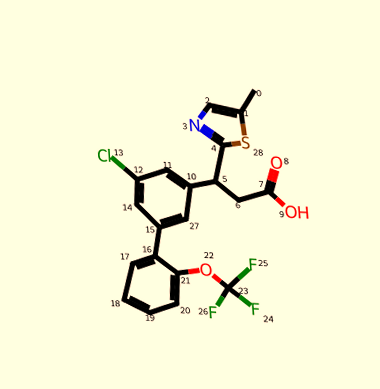 Cc1cnc(C(CC(=O)O)c2cc(Cl)cc(-c3ccccc3OC(F)(F)F)c2)s1